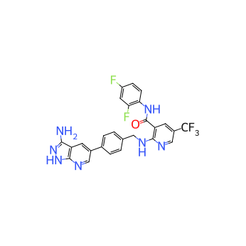 Nc1n[nH]c2ncc(-c3ccc(CNc4ncc(C(F)(F)F)cc4C(=O)Nc4ccc(F)cc4F)cc3)cc12